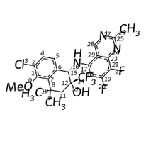 COc1c(Cl)ccc2c1C(C)(C)C[C@](O)(C(F)(F)F)[C@H]2Nc1cc(F)c(F)c2nc(C)ncc12